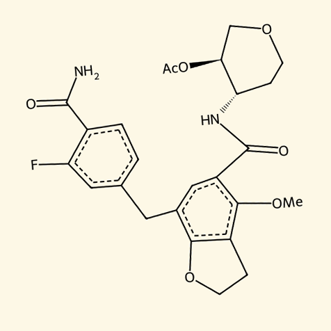 COc1c(C(=O)N[C@H]2CCOC[C@@H]2OC(C)=O)cc(Cc2ccc(C(N)=O)c(F)c2)c2c1CCO2